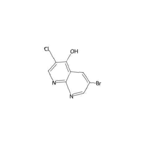 Oc1c(Cl)cnc2ncc(Br)cc12